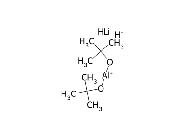 CC(C)(C)[O][Al+][O]C(C)(C)C.[H-].[LiH]